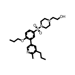 [CH2]c1ncc(-c2cc(S(=O)(=O)N3CCN(CCO)CC3)ccc2OCCC)cc1CCC